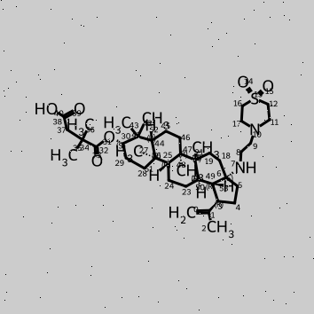 C=C(C)[C@@H]1CC[C@]2(NCCN3CCS(=O)(=O)CC3)CC[C@]3(C)[C@H](CC[C@@H]4[C@@]5(C)CC[C@H](OC(=O)C(C)(C)CC(=O)O)C(C)(C)[C@@H]5CC[C@]43C)[C@@H]12